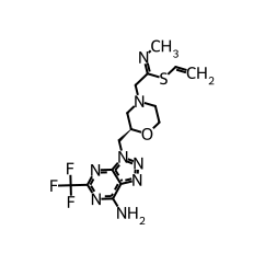 C=CS/C(CN1CCO[C@@H](Cn2nnc3c(N)nc(C(F)(F)F)nc32)C1)=N\C